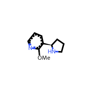 COc1ncccc1[C@H]1CCCN1